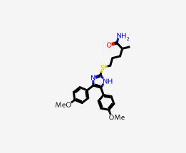 COc1ccc(-c2nc(SCCCC(C)C(N)=O)[nH]c2-c2ccc(OC)cc2)cc1